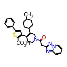 CC1CCC(C2=C(c3cc(-c4ccccc4)sc3C(=O)O)CCN(C(=O)Cc3nc4ccccn4n3)C2)CC1